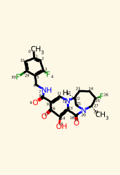 Cc1cc(F)c(CNC(=O)c2cn3c(c(O)c2=O)C(=O)N2C[C@@H]3CC[C@@H](F)[C@@H]2C)c(F)c1